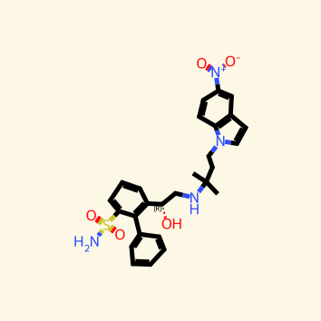 CC(C)(CCn1ccc2cc([N+](=O)[O-])ccc21)NC[C@H](O)c1cccc(S(N)(=O)=O)c1-c1ccccc1